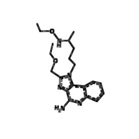 CCOCc1nc2c(N)nc3ccccc3c2n1CCCC(C)NOCC